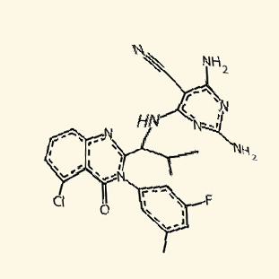 Cc1cc(F)cc(-n2c(C(Nc3nc(N)nc(N)c3C#N)C(C)C)nc3cccc(Cl)c3c2=O)c1